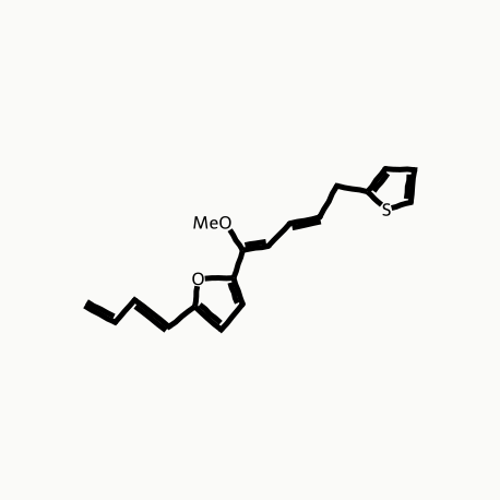 C=C/C=C/c1ccc(/C(=C/C=C/Cc2cccs2)OC)o1